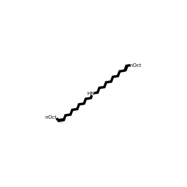 CCCCCCCCC=CCCCCCCCCNCCCCCCCC/C=C\CCCCCCCC